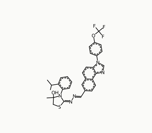 CC(C)c1ccccc1N1C(=NN=Cc2ccc3c(ccc4c3ncn4-c3ccc(OC(F)(F)F)cc3)c2)SCC1(C)O